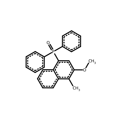 COc1cc(P(=O)(c2ccccc2)c2ccccc2)c2ccccc2c1C